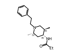 CCC(=O)N[C@@H]1C[C@H](C)N(CCc2ccccc2)C[C@H]1C